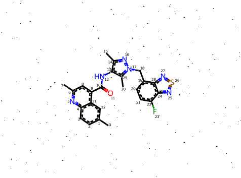 Cc1ccc2nc(C)cc(C(=O)Nc3c(C)nn(Cc4ccc(F)c5nsnc45)c3C)c2c1